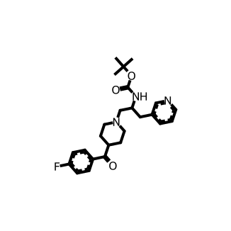 CC(C)(C)OC(=O)NC(Cc1cccnc1)CN1CCC(C(=O)c2ccc(F)cc2)CC1